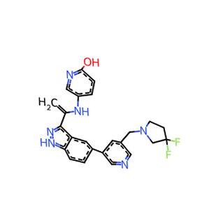 C=C(Nc1ccc(O)nc1)c1n[nH]c2ccc(-c3cncc(CN4CCC(F)(F)C4)c3)cc12